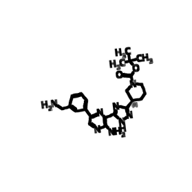 CC(C)(C)OC(=O)N1CCC[C@@H](c2n[nH]c(-c3nc(-c4cccc(CN)c4)cnc3N)n2)C1